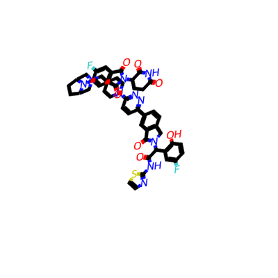 O=C1CCC(N2C(=O)c3cc(F)c(N4C5CCC4CN(CC4CCN(c6ccc(-c7ccc8c(c7)C(=O)N(C(C(=O)Nc7nccs7)c7cc(F)ccc7O)C8)nn6)CC4)C5)cc3C2=O)C(=O)N1